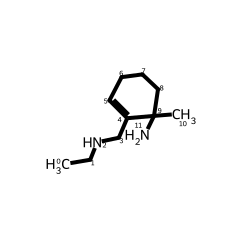 CCNCC1=CCCCC1(C)N